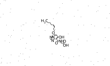 CCCC/C=C\CCOc1cc(O)c(C(=O)NCC(=O)O)c2ncnn12